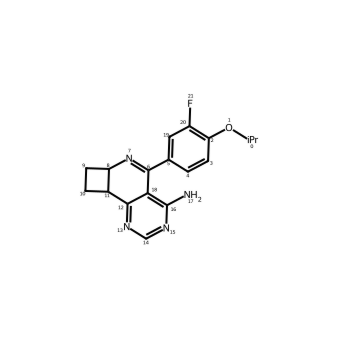 CC(C)Oc1ccc(C2=NC3CCC3c3ncnc(N)c32)cc1F